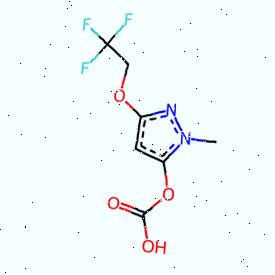 Cn1nc(OCC(F)(F)F)cc1OC(=O)O